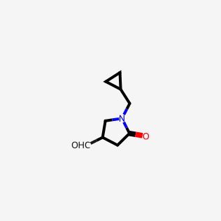 O=CC1CC(=O)N(CC2CC2)C1